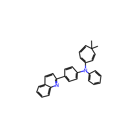 CC1(C)C=CC=C(N(c2ccccc2)c2ccc(-c3ccc4ccccc4n3)cc2)C=C1